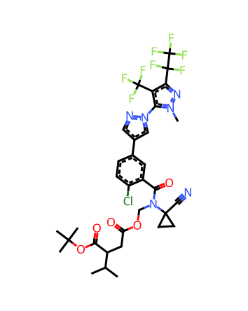 CC(C)C(CC(=O)OCN(C(=O)c1cc(-c2cnn(-c3c(C(F)(F)F)c(C(F)(F)C(F)(F)F)nn3C)c2)ccc1Cl)C1(C#N)CC1)C(=O)OC(C)(C)C